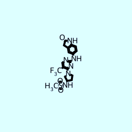 CS(=O)(=O)N[C@@H]1CCN(c2nc(Nc3ccc4c(c3)CC(=O)N4)ncc2C(F)(F)F)C1